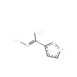 O=C(O)C(=NO)c1cc[nH]n1